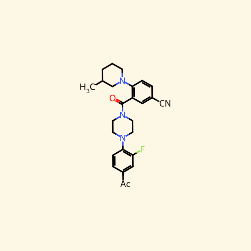 CC(=O)c1ccc(N2CCN(C(=O)c3cc(C#N)ccc3N3CCCC(C)C3)CC2)c(F)c1